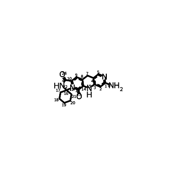 Nc1cc2c(cn1)Cc1cc3n(c(=O)c1N2)C1(CCCCC1)NC3=O